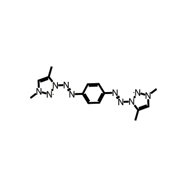 CC1=CN(C)[N]N1N=Nc1ccc(N=NN2[N]N(C)C=C2C)cc1